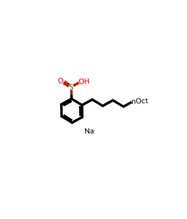 CCCCCCCCCCCCc1ccccc1S(=O)O.[Na]